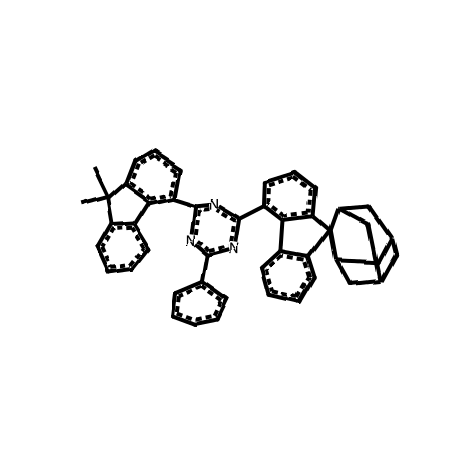 CC1(C)c2ccccc2-c2c(-c3nc(-c4ccccc4)nc(-c4cccc5c4-c4ccccc4C54C5CC6CC(C5)CC4C6)n3)cccc21